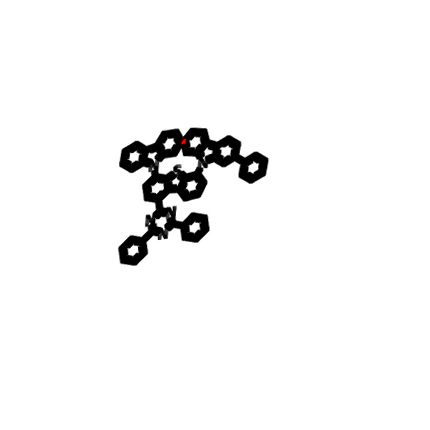 c1ccc(-c2ccc3c4ccccc4n(-c4cccc5c4sc4c(-n6c7ccccc7c7ccccc76)ccc(-c6nc(-c7ccccc7)nc(-c7ccccc7)n6)c45)c3c2)cc1